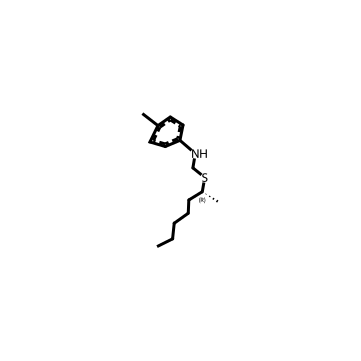 CCCCC[C@@H](C)SCNc1ccc(C)cc1